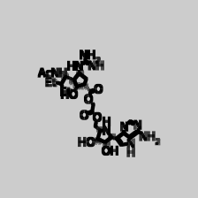 CCC(CC)[C@H](NC(C)=O)[C@@H]1[C@H](O)[C@@H](C(=O)OCC(=O)OC[C@H]2N[C@@H](c3c[nH]c4c(N)ncnc34)[C@H](O)[C@@H]2O)C[C@H]1NC(=N)N